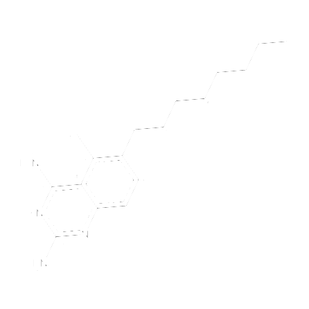 CCCCCCCCc1ccc2nc(N)nc(N)c2c1C